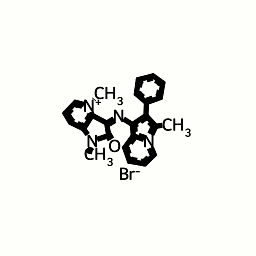 Cc1c(-c2ccccc2)c(N=C2C(=O)N(C)c3ccc[n+](C)c32)c2ccccn12.[Br-]